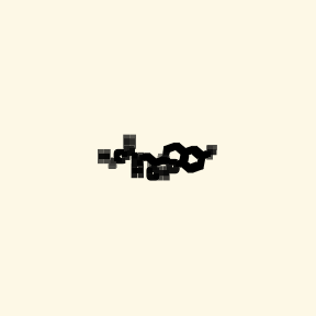 CPNC[C@@H](O)[C@H]1CCc2cc(F)ccc2O1